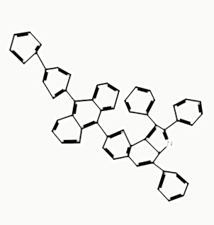 C1=C(c2ccccc2)C2N=C(c3ccccc3)C(c3ccccc3)=C2c2cc(-c3c4ccccc4c(-c4ccc(-c5ccccc5)cc4)c4ccccc34)ccc21